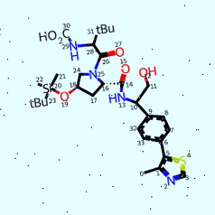 Cc1ncsc1-c1ccc(C(CO)NC(=O)[C@@H]2C[C@@H](O[Si](C)(C)C(C)(C)C)CN2C(=O)C(NC(=O)O)C(C)(C)C)cc1